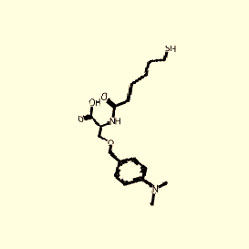 CN(C)c1ccc(COCC(NC(=O)CCCCCS)C(=O)O)cc1